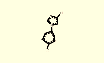 CCc1[c]cc(-n2cnc(Cl)c2)cc1